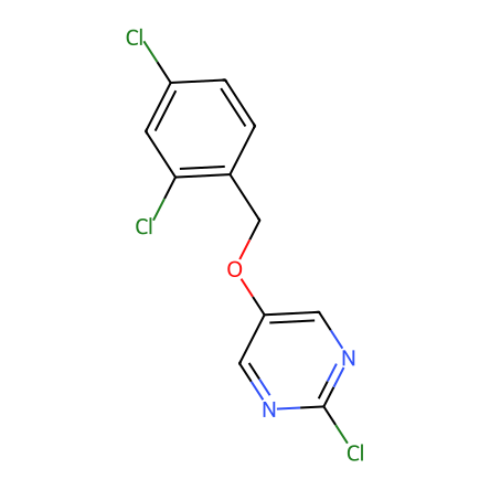 Clc1ccc(COc2cnc(Cl)nc2)c(Cl)c1